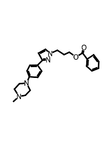 CN1CCN(c2ccc(-c3ccn(CCCOC(=O)c4ccccc4)n3)cc2)CC1